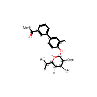 CNC(=O)c1cccc(-c2ccc(O[C@H]3O[C@H]([C@@H](C)C(C)C)[C@@H](C)[C@H](OC(C)=O)[C@@H]3OC(C)=O)c(C)c2)c1